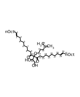 CCCCCCCCC=CCCCCCCCC(=O)C(OCCCN(C)C)(C(=O)CCCCCCCC=CCCCCCCCC)C(O)CO